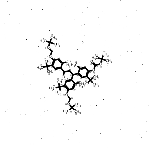 Cc1cc(OCOC(C)(C)C)c(C(C)(C)C)cc1C(C)CC(c1cc(C(C)(C)C)c(OCOC(C)(C)C)cc1C)c1cc(C(C)(C)C)c(OC(=O)OC(C)(C)C)cc1C